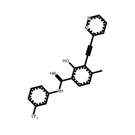 Cc1ccc(C(=N)Nc2cccc(C(F)(F)F)c2)c(O)c1C#Cc1cccnn1